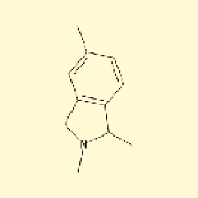 Cc1ccc2c(c1)CN(C)C2C